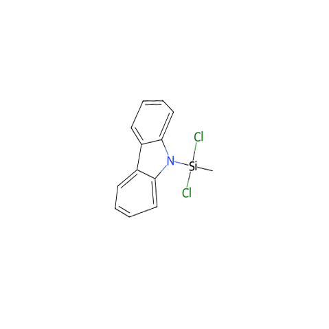 C[Si](Cl)(Cl)n1c2ccccc2c2ccccc21